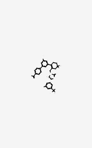 COc1cc(C2=C(CN3C(=O)O[C@H](c4cc(C)cc(C(F)(F)F)c4)[C@@H]3C)CC(C)(C)CC2)cc(-c2ccc(C(=O)O)cc2)c1